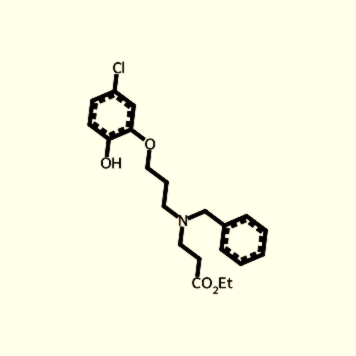 CCOC(=O)CCN(CCCOc1cc(Cl)ccc1O)Cc1ccccc1